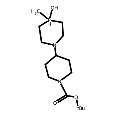 CC(C)(C)OC(=O)N1CCC(N2CC[PH](C)(O)CC2)CC1